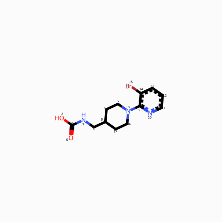 O=C(O)NCC1CCN(c2ncccc2Br)CC1